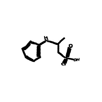 CC(CS(=O)(=O)O)Nc1ccccc1